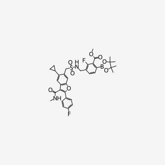 CNC(=O)c1c(-c2ccc(F)cc2)oc2cc(CS(=O)(=O)NCc3ccc(B4OC(C)(C)C(C)(C)O4)c(C(=O)OC)c3F)c(C3CC3)cc12